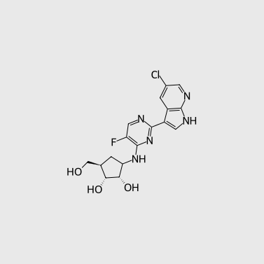 OC[C@H]1CC(Nc2nc(-c3c[nH]c4ncc(Cl)cc34)ncc2F)[C@H](O)[C@@H]1O